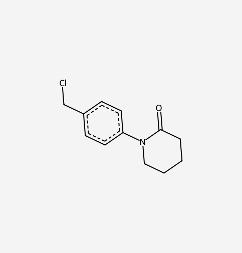 O=C1CCCCN1c1ccc(CCl)cc1